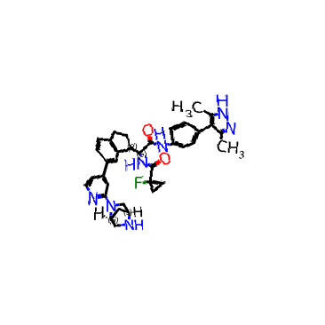 Cc1n[nH]c(C)c1-c1ccc(NC(=O)[C@@H](NC(=O)C2(F)CC2)[C@@H]2CCc3ccc(-c4ccnc(N5C[C@@H]6C[C@H]5CN6)c4)cc32)cc1